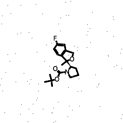 CC(C)(C)OC(=O)N1CCC[C@@H]1C1(C)OCc2cc(F)ccc21